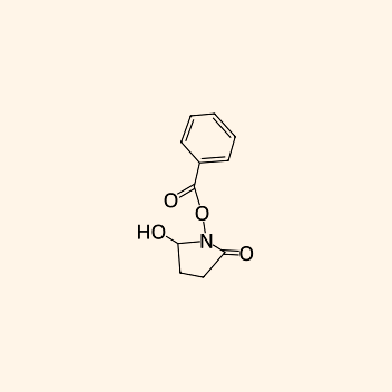 O=C(ON1C(=O)CCC1O)c1ccccc1